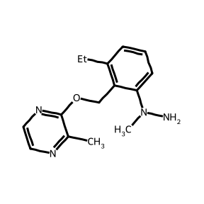 CCc1cccc(N(C)N)c1COc1nccnc1C